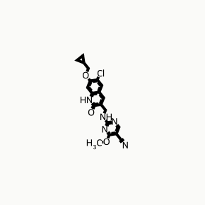 COc1nc(NCc2cc3cc(Cl)c(OCC4CC4)cc3[nH]c2=O)ncc1C#N